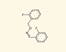 Fc1ccccc1/[C]=N\OCc1ccccc1F